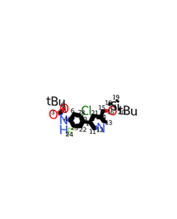 CC(C)(C)OC(=O)Nc1cc(Cl)c(-c2cncc(CO[Si](C)(C)C(C)(C)C)c2)cc1F